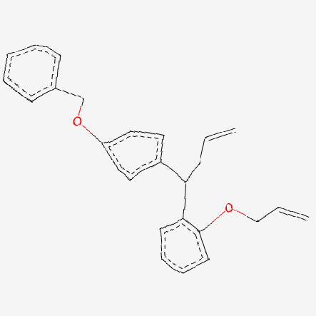 C=CCOc1ccccc1C(CC=C)c1ccc(OCc2ccccc2)cc1